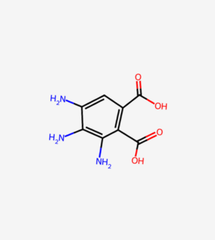 Nc1cc(C(=O)O)c(C(=O)O)c(N)c1N